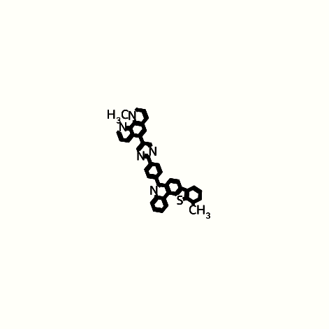 CC1CC=Cc2c1sc1c2ccc2c(-c3ccc(-c4ncc(-c5cc6c(c7ncccc57)N(C)CC=C6)cn4)cc3)nc3ccccc3c21